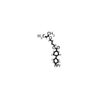 C=CC(=C)OCCCCOC(=O)C1CCC(C2CCC(CCC)CC2)CC1